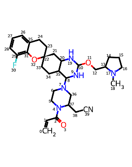 C=CC(=O)N1CCN(C2NC(OCC3CCCN3C)NC3C[C@@]4(CCc5cccc(F)c5O4)CCC32)CC1CC#N